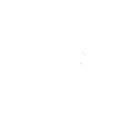 O=C(O)C(Cc1ccc(Cl)cc1)Cc1cc(-c2ccc(Cl)cc2)n[nH]1